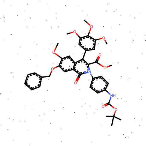 COC(=O)c1c(-c2cc(OC)c(OC)c(OC)c2)c2cc(OC)c(OCc3ccccc3)cc2c(=O)n1-c1ccc(NC(=O)OC(C)(C)C)cc1